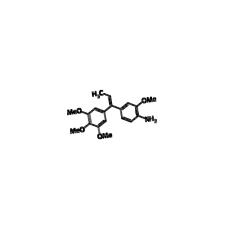 CC=C(c1ccc(N)c(OC)c1)c1cc(OC)c(OC)c(OC)c1